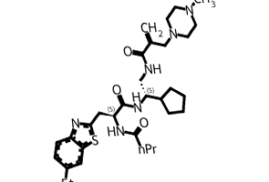 C=C(CN1CCN(C)CC1)C(=O)NC[C@@H](NC(=O)[C@H](Cc1nc2ccc(CC)cc2s1)NC(=O)CCC)C1CCCC1